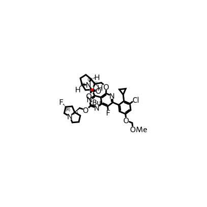 COCOc1cc(Cl)c(C2CC2)c(-c2nc3c4c(nc(OC[C@@]56CCCN5C[C@H](F)C6)nc4c2F)N2C[C@H]4CC[C@@H]([C@H]2CO3)N4C(=O)OC(C)(C)C)c1